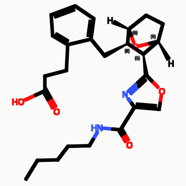 CCCCCNC(=O)c1coc([C@H]2[C@@H](Cc3ccccc3CCC(=O)O)[C@@H]3CC[C@H]2O3)n1